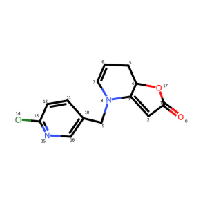 O=C1C=C2C(CC=CN2Cc2ccc(Cl)nc2)O1